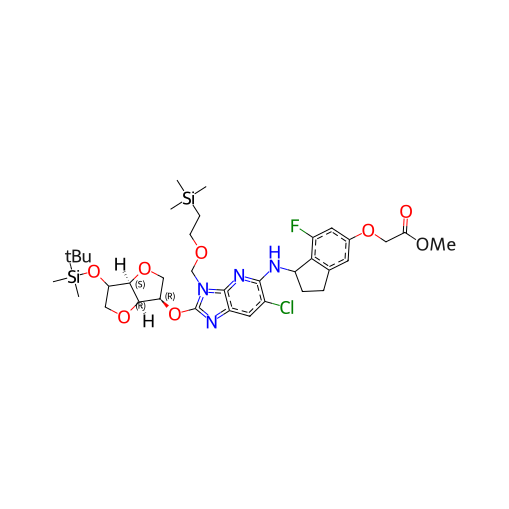 COC(=O)COc1cc(F)c2c(c1)CCC2Nc1nc2c(cc1Cl)nc(O[C@@H]1CO[C@@H]3C(O[Si](C)(C)C(C)(C)C)CO[C@@H]31)n2COCC[Si](C)(C)C